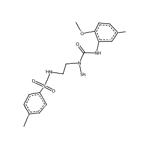 COc1ccc(C)cc1NC(=O)N(S)CCNS(=O)(=O)c1ccc(C)cc1